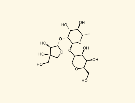 C[C@@H]1O[C@@H](OC2CO[C@H](CO)[C@H](O)[C@@H]2O)[C@H](O[C@@H]2OC[C@](O)(CO)[C@H]2O)[C@H](O)[C@H]1O